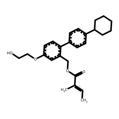 C/C=C(\C)C(=O)OCc1cc(OCCO)ccc1-c1ccc(C2CCCCC2)cc1